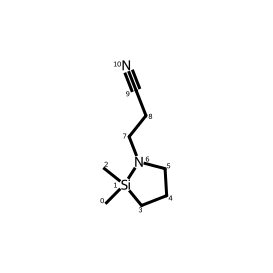 C[Si]1(C)CCCN1CCC#N